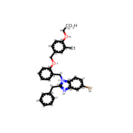 CCc1cc(COc2ccccc2Cn2c(Cc3ccccc3)nc3cc(Br)ccc32)ccc1OCC(=O)O